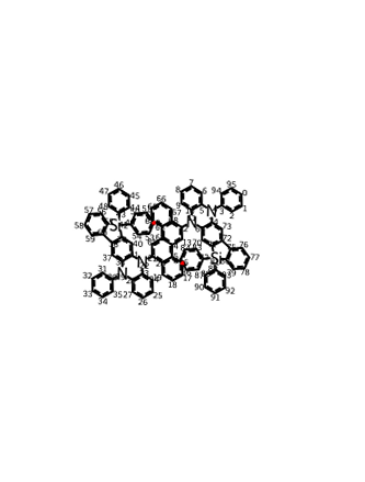 c1ccc(N2c3ccccc3N(c3cc4c5ccccc5c(N5c6ccccc6N(c6ccccc6)c6cc7c(cc65)[Si](c5ccccc5)(c5ccccc5)c5ccccc5-7)cc4c4ccccc34)c3cc4c(cc32)-c2ccccc2[Si]4(c2ccccc2)c2ccccc2)cc1